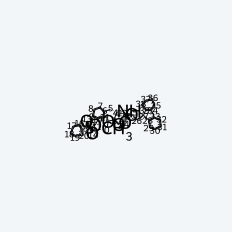 COC(=O)[C@H](Cc1cccc(OS(=O)(=O)c2ccccc2)c1)NC(=O)OCC1c2ccccc2-c2ccccc21